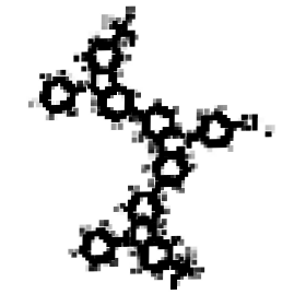 Cc1ccc(-n2c3ccc(-c4ccc5c(c4)c4cc(C(F)(F)F)ccc4n5-c4ccccc4)cc3c3cc(-c4ccc5c(c4)c4cc(C(F)(F)F)ccc4n5-c4ccccc4)ccc32)cc1